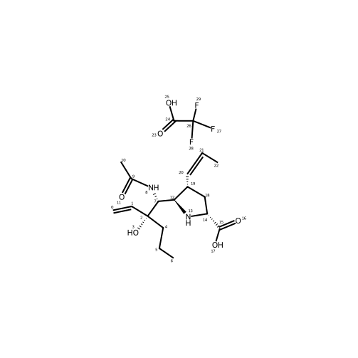 C=C[C@](O)(CCC)[C@H](NC(C)=O)[C@@H]1N[C@@H](C(=O)O)C[C@H]1/C=C\C.O=C(O)C(F)(F)F